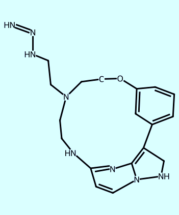 N=NNCCN1CCNC2=NC3=C(CNN3C=C2)c2cccc(c2)OCC1